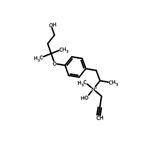 C#CC[N+](C)(O)C(C)Cc1ccc(OC(C)(C)CCO)cc1